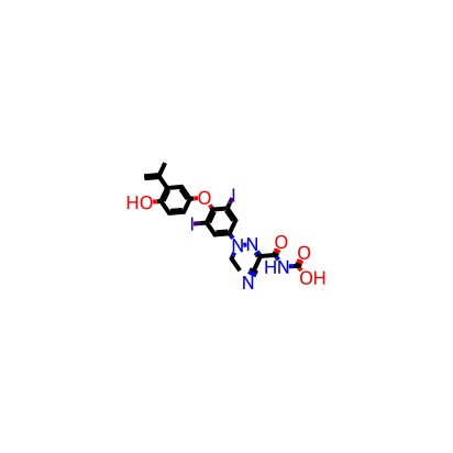 C=C(C)c1cc(Oc2c(I)cc(N(CC)N=C(C#N)C(=O)NC(=O)O)cc2I)ccc1O